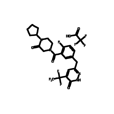 O=C(O)C(F)(F)F.O=C(c1cc(Cc2cc(C(F)(F)C(F)(F)F)c(=O)[nH]n2)ccc1F)N1CCN(C2CCCC2)C(=O)C1